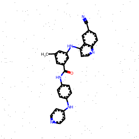 Cc1cc(Nc2ccnc3ccc(C#N)cc23)cc(C(=O)Nc2ccc(Nc3ccncc3)cc2)c1